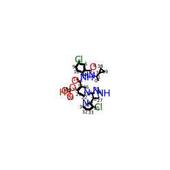 CC(NC(=O)c1cc(Cl)ccc1NC(=O)C1=C(O[SH](=O)=O)C=CN(C2=NNCC2c2ncccc2Cl)C1)C1CC1